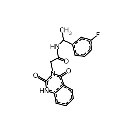 CC(NC(=O)Cn1c(=O)[nH]c2ccccc2c1=O)c1cccc(F)c1